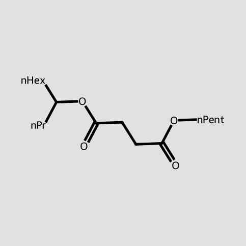 CCCCCCC(CCC)OC(=O)CCC(=O)OCCCCC